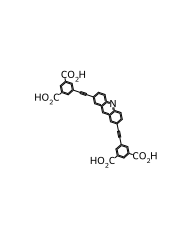 O=C(O)c1cc(C#Cc2ccc3nc4ccc(C#Cc5cc(C(=O)O)cc(C(=O)O)c5)cc4cc3c2)cc(C(=O)O)c1